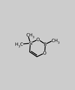 CB1OC=C[Si](C)(C)O1